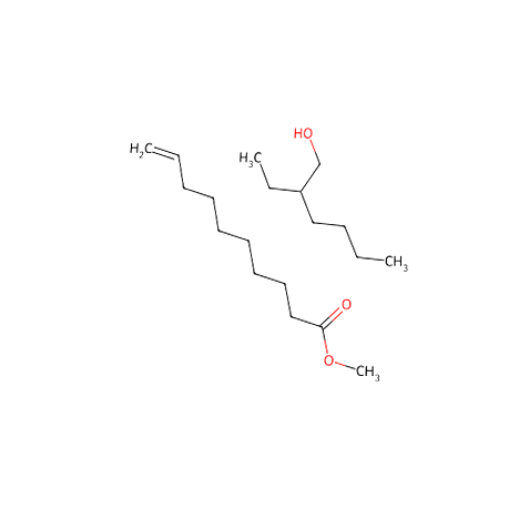 C=CCCCCCCCC(=O)OC.CCCCC(CC)CO